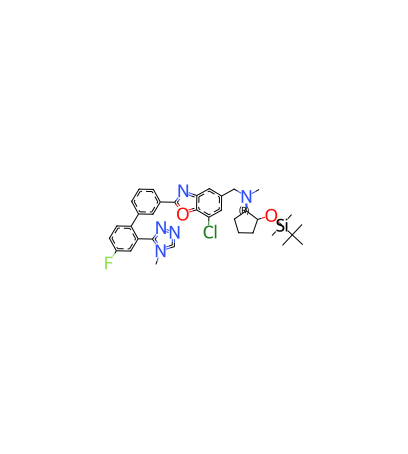 CN(Cc1cc(Cl)c2oc(-c3cccc(-c4ccc(F)cc4-c4nncn4C)c3)nc2c1)[C@@H]1CCCC1O[Si](C)(C)C(C)(C)C